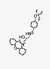 OC(CNSc1ccc(OC(F)(F)F)cc1)Cn1sc2ccccc2oc2ccccc21